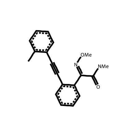 CNC(=O)C(=NOC)c1ccccc1C#Cc1ccccc1C